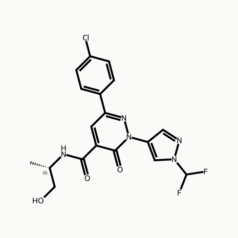 C[C@@H](CO)NC(=O)c1cc(-c2ccc(Cl)cc2)nn(-c2cnn(C(F)F)c2)c1=O